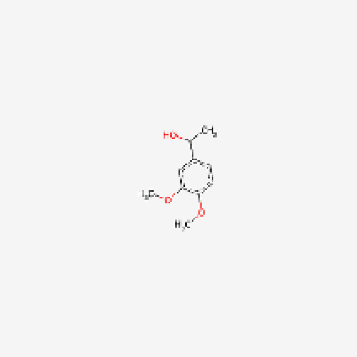 [CH2]C(O)c1ccc(OC)c(OC)c1